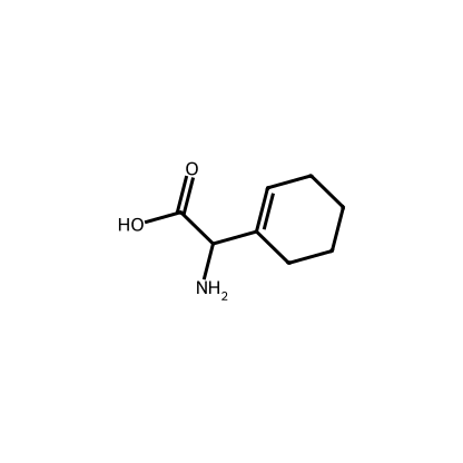 NC(C(=O)O)C1=CCCCC1